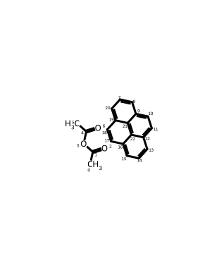 CC(=O)OC(C)=O.c1cc2ccc3cccc4ccc(c1)c2c34